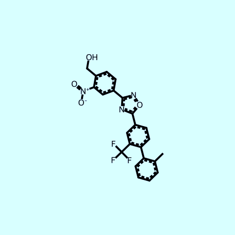 Cc1ccccc1-c1ccc(-c2nc(-c3ccc(CO)c([N+](=O)[O-])c3)no2)cc1C(F)(F)F